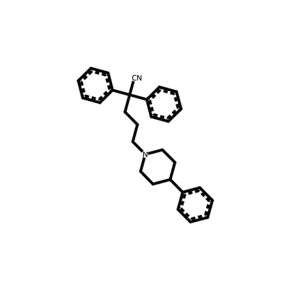 N#CC(CCCN1CCC(c2ccccc2)CC1)(c1ccccc1)c1ccccc1